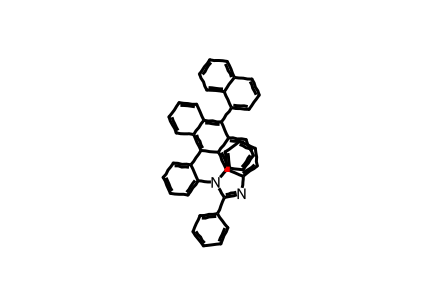 c1ccc(-c2nc3ccccc3n2-c2ccccc2-c2c3ccccc3c(-c3cccc4ccccc34)c3ccccc23)cc1